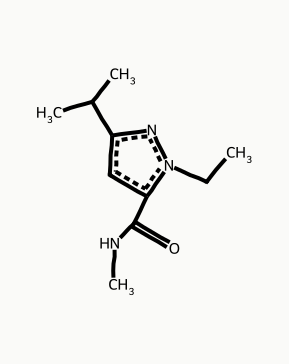 CCn1nc(C(C)C)cc1C(=O)NC